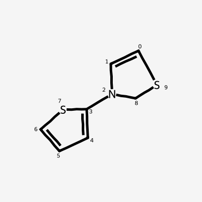 C1=CN(c2cccs2)CS1